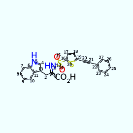 O=C(O)[C@@H](Cc1c[nH]c2ccccc12)NS(=O)(=O)c1ccc(C#Cc2ccccc2)s1